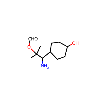 CC(C)(OC=O)C(N)C1CCC(O)CC1